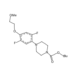 COCCOc1cc(F)c(N2CCN(C(=O)OC(C)(C)C)CC2)cc1F